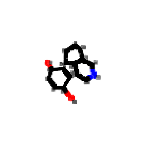 O=C1C=CC(=O)C=C1.c1ccc2cnccc2c1